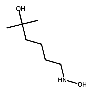 CC(C)(O)CCCCNO